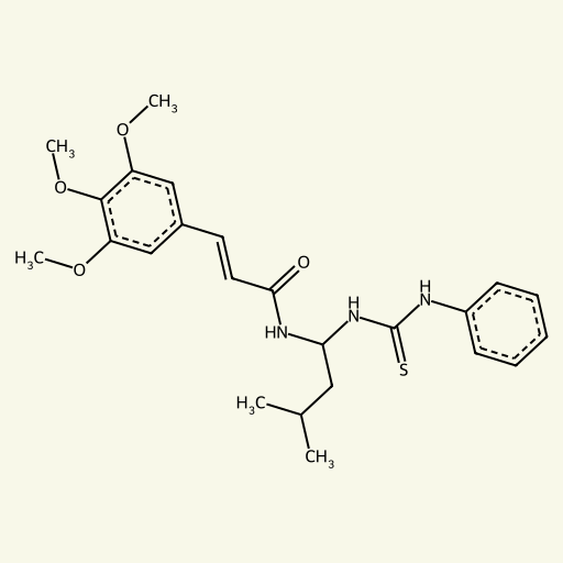 COc1cc(C=CC(=O)NC(CC(C)C)NC(=S)Nc2ccccc2)cc(OC)c1OC